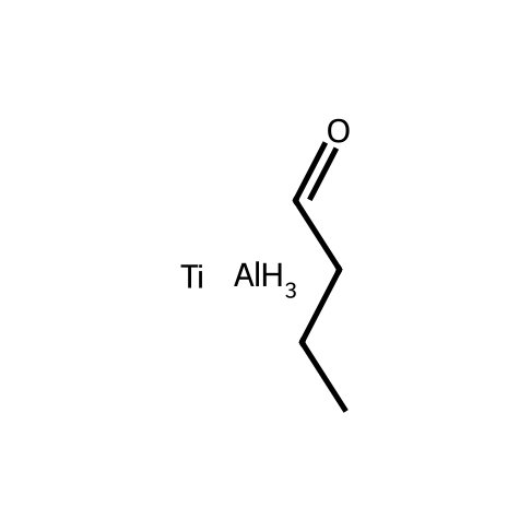 CCCC=O.[AlH3].[Ti]